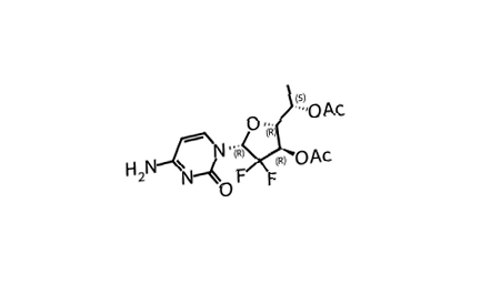 CC(=O)O[C@@H](C)[C@H]1O[C@@H](n2ccc(N)nc2=O)C(F)(F)[C@@H]1OC(C)=O